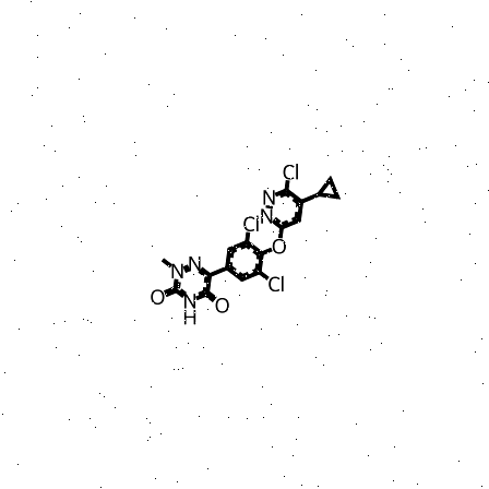 Cn1nc(-c2cc(Cl)c(Oc3cc(C4CC4)c(Cl)nn3)c(Cl)c2)c(=O)[nH]c1=O